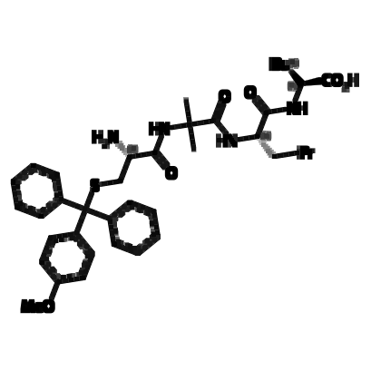 CC[C@H](C)[C@H](NC(=O)[C@H](CC(C)C)NC(=O)C(C)(C)NC(=O)[C@@H](N)CSC(c1ccccc1)(c1ccccc1)c1ccc(OC)cc1)C(=O)O